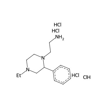 CCN1CCN(CCN)C(c2ccccc2)C1.Cl.Cl.Cl.Cl